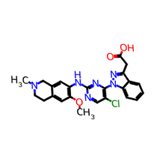 COc1cc2c(cc1Nc1ncc(Cl)c(-n3nc(CC(=O)O)c4ccccc43)n1)CN(C)CC2